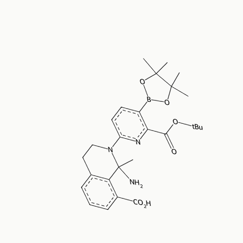 CC(C)(C)OC(=O)c1nc(N2CCc3cccc(C(=O)O)c3C2(C)N)ccc1B1OC(C)(C)C(C)(C)O1